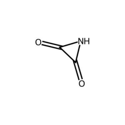 O=c1[nH]c1=O